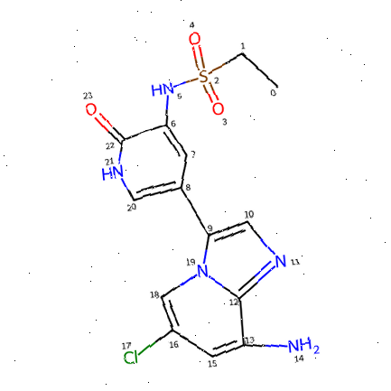 CCS(=O)(=O)Nc1cc(-c2cnc3c(N)cc(Cl)cn23)c[nH]c1=O